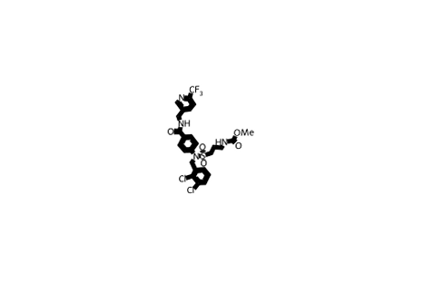 COC(=O)NCCCS(=O)(=O)N(Cc1cccc(Cl)c1Cl)c1ccc(C(=O)NCc2ccc(C(F)(F)F)nc2)cc1